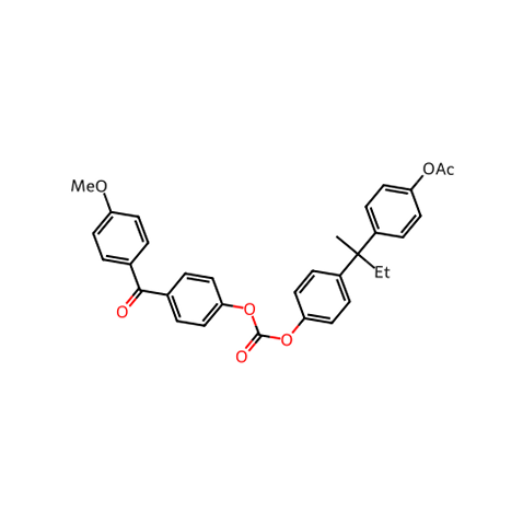 CCC(C)(c1ccc(OC(C)=O)cc1)c1ccc(OC(=O)Oc2ccc(C(=O)c3ccc(OC)cc3)cc2)cc1